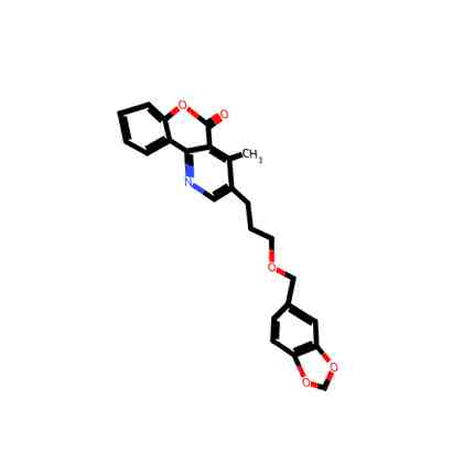 Cc1c(CCCOCc2ccc3c(c2)OCO3)cnc2c1c(=O)oc1ccccc12